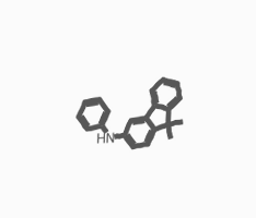 CC1(C)c2ccccc2-c2cc(Nc3ccccc3)ccc21